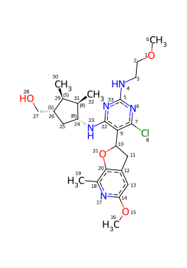 COCCNc1nc(Cl)c(C2Cc3cc(OC)nc(C)c3O2)c(N[C@@H]2C[C@H](CO)[C@@H](C)[C@H]2C)n1